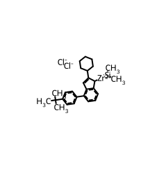 C[Si](C)[Zr+2][CH]1C(C2CCCCC2)=Cc2c(-c3ccc(C(C)(C)C)cc3)cccc21.[Cl-].[Cl-]